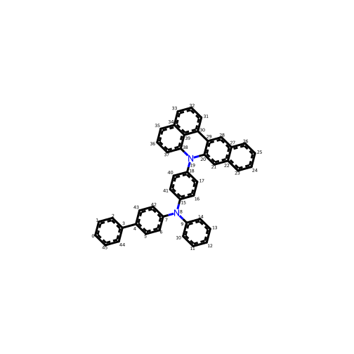 c1ccc(-c2ccc(N(c3ccccc3)c3ccc(N4c5cc6ccccc6cc5-c5cccc6cccc4c56)cc3)cc2)cc1